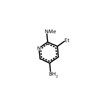 Bc1cnc(NC)c(CC)c1